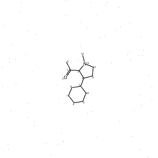 CC(=O)C1C(C2CCCCC2)CCN1C